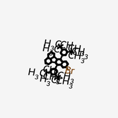 CC(C)(C)c1cc(-c2c3c(c(-c4cc(C(C)(C)C)cc(C(C)(C)C)c4)c4cc(Br)ccc24)-c2cccc4cccc-3c24)cc(C(C)(C)C)c1